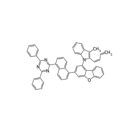 C=C/C=C\c1c(C)c2ccccc2n1-c1cc(-c2cccc3c(-c4nc(-c5ccccc5)nc(-c5ccccc5)n4)cccc23)cc2oc3ccccc3c12